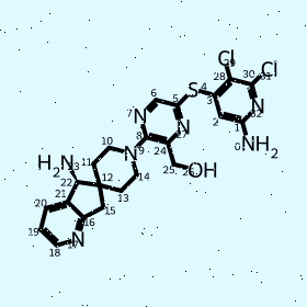 Nc1cc(Sc2cnc(N3CCC4(CC3)Cc3ncccc3[C@H]4N)c(CO)n2)c(Cl)c(Cl)n1